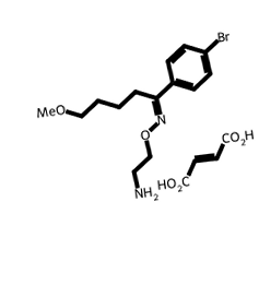 COCCCCC(=NOCCN)c1ccc(Br)cc1.O=C(O)/C=C/C(=O)O